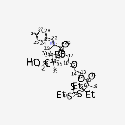 CCSC(=S)SC(CC)(CC)C(C)C(=O)OCCOCCOC(=O)/C(=C/c1ccccc1)CC(C)(CC)C(C)(C)C(=O)O